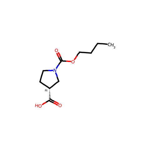 CCCCOC(=O)N1CC[C@@H](C(=O)O)C1